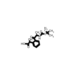 C[C@H](NC(=O)OC(C)(C)C)C(=O)c1ccccc1C(O)C(=O)O